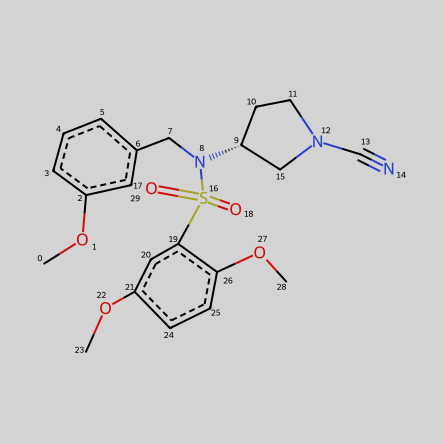 COc1cccc(CN([C@@H]2CCN(C#N)C2)S(=O)(=O)c2cc(OC)ccc2OC)c1